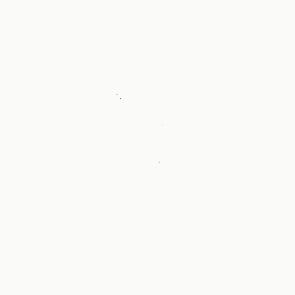 Cc1ccc(C#N)c(C)n1